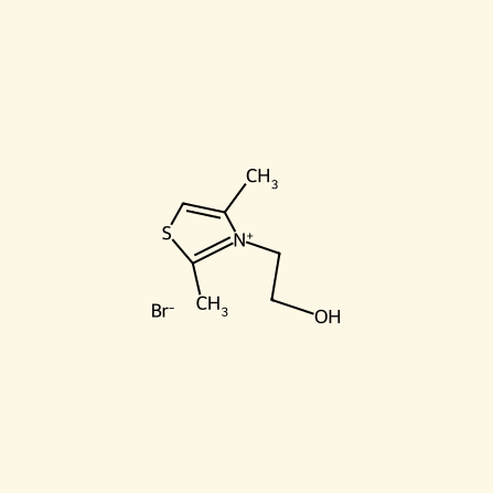 Cc1csc(C)[n+]1CCO.[Br-]